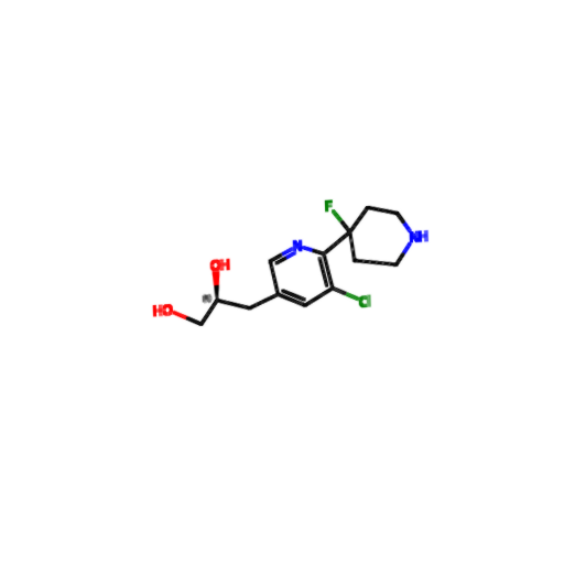 OC[C@@H](O)Cc1cnc(C2(F)CCNCC2)c(Cl)c1